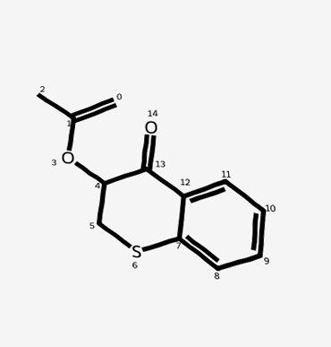 C=C(C)OC1CSc2ccccc2C1=O